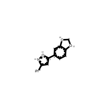 CC(C)c1cc(-c2ccc3c(c2)OCO3)on1